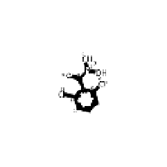 CN(O)C(=O)c1c(Cl)cccc1Cl